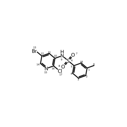 Cc1cccc(S(=O)(=O)Nc2cc(Br)cnc2Cl)c1